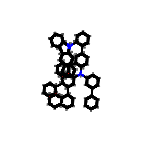 c1ccc(-c2cccc(N(c3ccc(-c4ccccc4)c(-c4cccc5ccccc45)c3)c3ccc(-c4ccccc4-n4c5ccccc5c5cc6ccccc6cc54)cc3-c3ccccc3)c2)cc1